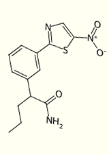 CCCC(C(N)=O)c1cccc(-c2ncc([N+](=O)[O-])s2)c1